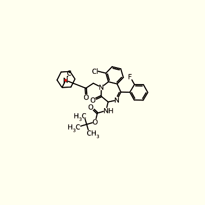 CC(C)(C)OC(=O)NC1N=C(c2ccccc2F)c2cccc(Cl)c2N(CC(=O)N2CC3CCC(CC3)C2)C1=O